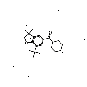 CC(C)(C)c1cc(C(=O)C2CCCCC2)cc2c1OCC2(C)C